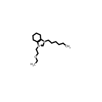 CCCCCCn1c[n+](CCOCC)c2c1CCCC2